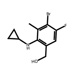 Cc1c(Br)c(F)cc(CO)c1NC1CC1